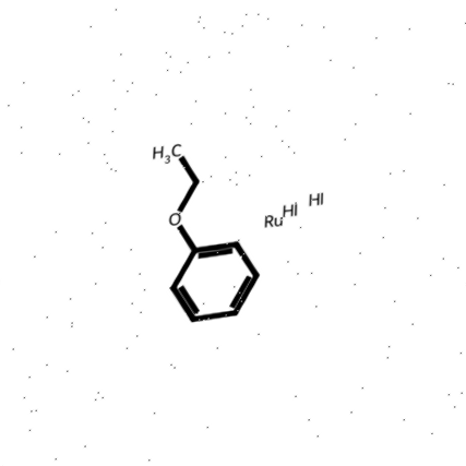 CCOc1ccccc1.I.I.[Ru]